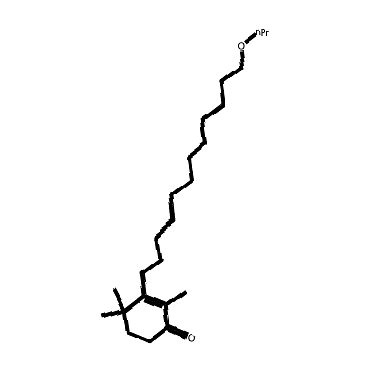 CCCOCCCCCCCCCCCCC1=C(C)C(=O)CCC1(C)C